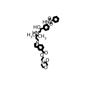 CC(C)(CCn1ccc2cc(C(=O)OCCN3CCOCC3=O)ccc21)NC[C@H](O)c1cccc(NS(=O)(=O)c2ccccc2)c1